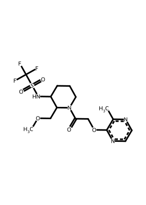 COCC1C(NS(=O)(=O)C(F)(F)F)CCCN1C(=O)COc1nccnc1C